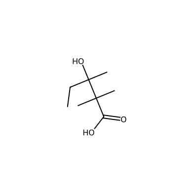 CCC(C)(O)C(C)(C)C(=O)O